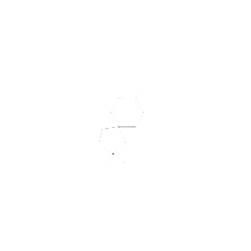 CCC1(CC)CC2(CC=C(C)CC2)CO1